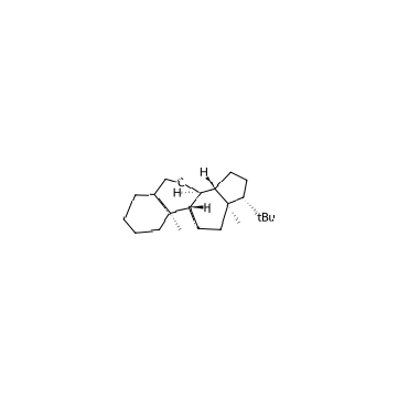 CC(C)(C)[C@H]1CC[C@H]2[C@@H]3CCC4CCCC[C@]4(C)[C@H]3CC[C@]12C